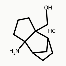 Cl.NC12CCCC1(CO)C1CCC2C1